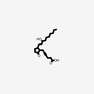 CCCCCCCC(O)C=CC1CCC(=O)C1CC#CCCC(=O)O